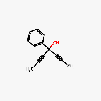 CC#CC(O)(C#CC)c1ccccc1